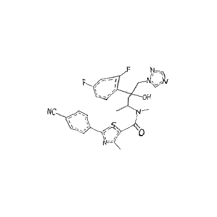 Cc1nc(-c2ccc(C#N)cc2)sc1C(=O)N(C)C(C)C(O)(Cn1cncn1)c1ccc(F)cc1F